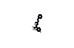 O=C1Nc2cc(F)ccc2/C1=C1C=C(/C=C/c2ccccc2)CO\1